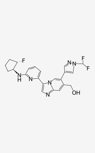 OCc1cc2ncc(-c3cccc(N[C@H]4CCC[C@@H]4F)n3)n2cc1-c1cnn(C(F)F)c1